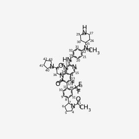 CC(=O)N1CCCC1c1ccc(-c2cc3cnc(Nc4ccc(N(C)C5CCNCC5)cc4)nc3n(CC(=O)N3CCCC3)c2=O)c(C(F)(F)F)c1